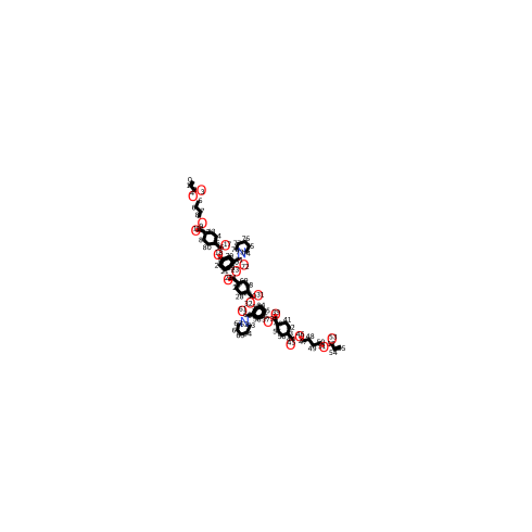 C=CC(=O)OCCCCOC(=O)C1CCC(C(=O)Oc2ccc(OC(=O)C3CCC(C(=O)Oc4ccc(OC(=O)C5CCC(C(=O)OCCCCOC(=O)C=C)CC5)cc4C(=O)N4CCCCC4)CC3)c(C(=O)N3CCCCC3)c2)CC1